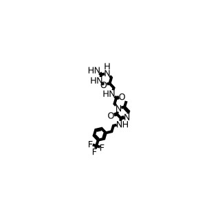 Cc1cnc(NCCc2cccc(C(F)(F)F)c2)c(=O)n1CC(=O)NCC1CNC(=N)NO1